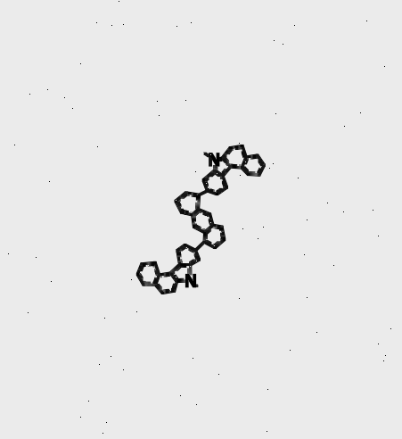 Cn1c2cc(-c3cccc4cc5c(-c6ccc7c8c9ccccc9ccc8n(C)c7c6)cccc5cc34)ccc2c2c3ccccc3ccc21